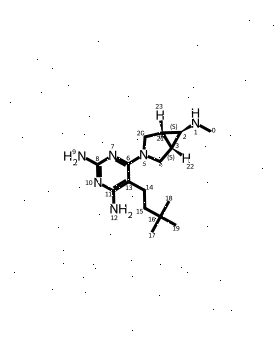 CN[C@H]1[C@@H]2CN(c3nc(N)nc(N)c3CCC(C)(C)C)C[C@@H]21